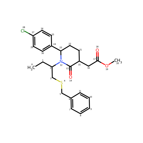 CCC(CSCc1ccccc1)N1C(=O)C(CC(=O)OC)CCC1c1ccc(Cl)cc1